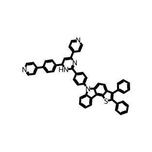 C1=C(c2ccncc2)N=C(c2ccc(-n3c4ccccc4c4c5sc(-c6ccccc6)c(-c6ccccc6)c5ccc43)cc2)NC1c1ccc(-c2ccncc2)cc1